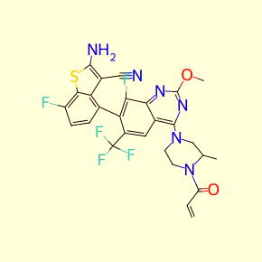 C=CC(=O)N1CCN(c2nc(OC)nc3c(F)c(-c4ccc(F)c5sc(N)c(C#N)c45)c(C(F)(F)F)cc23)CC1C